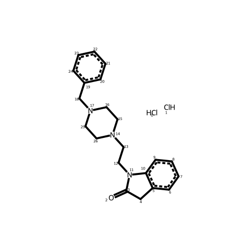 Cl.Cl.O=C1Cc2ccccc2N1CCN1CCN(Cc2ccccc2)CC1